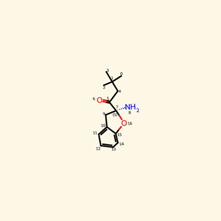 CC(C)(C)CC(=O)[C@]1(N)Cc2ccccc2O1